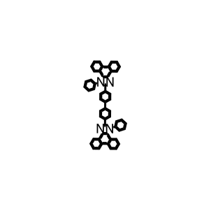 c1ccc(-n2c(-c3ccc(-c4ccc(-c5nc6c7ccccc7c7ccccc7c6n5-c5ccccc5)cc4)cc3)nc3c4ccccc4c4ccccc4c32)cc1